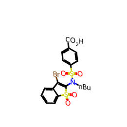 CCCCN(C1=C(Br)c2ccccc2S1(=O)=O)S(=O)(=O)c1ccc(C(=O)O)cc1